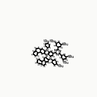 CC(C)(C)c1ccc(N2c3cc4ccc5ccccc5c4cc3B3c4cc5c(ccc6ccccc65)cc4N(c4ccc(C(C)(C)C)cc4)c4cc(-c5nc(-c6cc(C(C)(C)C)cc(C(C)(C)C)c6)nc(-c6cc(C(C)(C)C)cc(C(C)(C)C)c6)n5)cc2c43)cc1